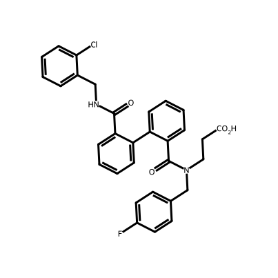 O=C(O)CCN(Cc1ccc(F)cc1)C(=O)c1ccccc1-c1ccccc1C(=O)NCc1ccccc1Cl